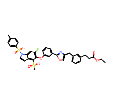 CCOC(=O)CCc1cccc(Cc2coc(-c3cccc(Oc4c(F)cc5c(ccn5S(=O)(=O)c5ccc(C)cc5)c4S(C)(=O)=O)c3)n2)c1